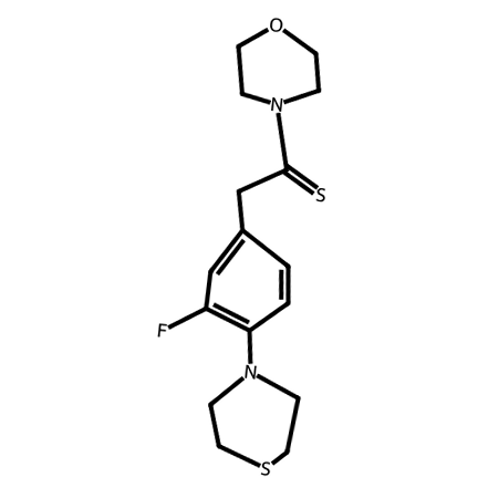 Fc1cc(CC(=S)N2CCOCC2)ccc1N1CCSCC1